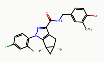 COc1cc(CNC(=O)c2nn(-c3ccc(F)cc3F)c3c2C[C@H]2C[C@@H]32)ccc1O